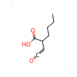 CCCCC(C=C=O)C(=O)O